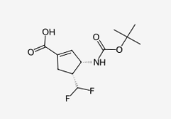 CC(C)(C)OC(=O)N[C@H]1C=C(C(=O)O)C[C@H]1C(F)F